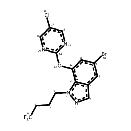 FC(F)(F)CCCn1ncc2cc(Br)cc(Oc3ncc(Cl)cn3)c21